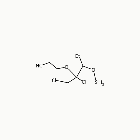 CCC(O[SiH3])C(Cl)(CCl)OCCC#N